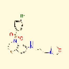 O=S(=O)(c1ccc(Br)cc1)N1CCSc2ccc(NCCCN3CCOCC3)cc21